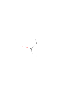 CCCCC([O])C(C)C